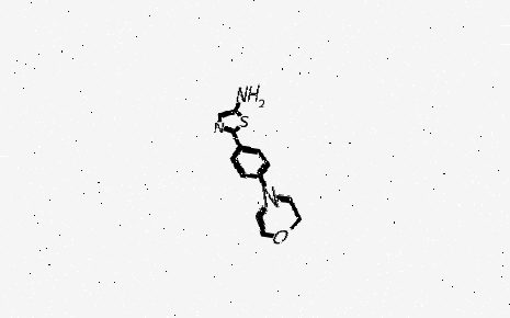 Nc1cnc(-c2ccc(N3CCOCC3)cc2)s1